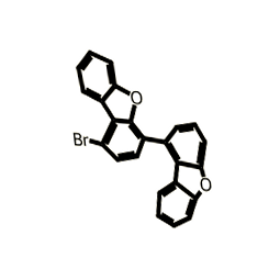 Brc1ccc(-c2cccc3oc4ccccc4c23)c2oc3ccccc3c12